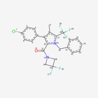 Cc1c(-c2ccc(Cl)cc2)c(C(=O)N2CC(F)(F)C2)n(Cc2ccccc2)c1C(F)(F)F